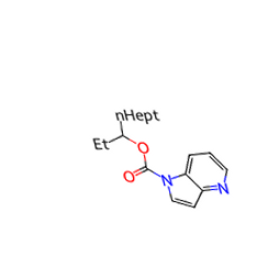 CCCCCCCC(CC)OC(=O)n1ccc2ncccc21